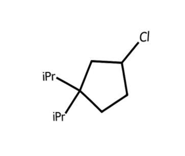 CC(C)C1(C(C)C)CCC(Cl)C1